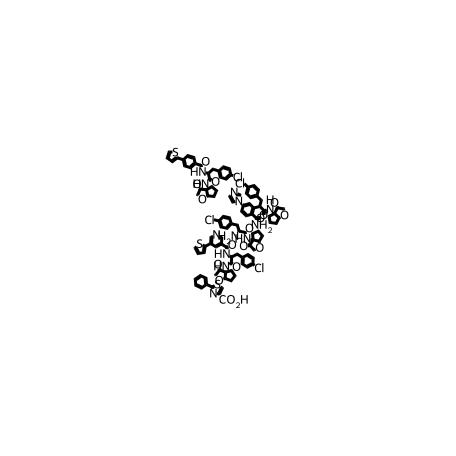 NC(=O)c1ccc(-n2ccnc2)cc1C(Cc1ccc(Cl)cc1)C(=O)NC12CCCC1OCC2=O.NC(Cc1ccc(Cl)cc1)C(=O)NC12CCCC1OCC2=O.O=C(NC(Cc1ccc(Cl)cc1)C(=O)NC12CCCC1OCC2=O)c1ccc(-c2cccs2)cc1.O=C(NC(Cc1ccc(Cl)cc1)C(=O)NC12CCCC1OCC2=O)c1cncc(-c2cccs2)c1.O=C(O)c1csc(-c2ccccc2)n1